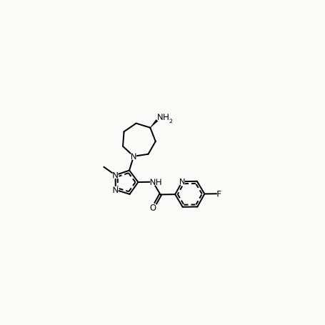 Cn1ncc(NC(=O)c2ccc(F)cn2)c1N1CCC[C@@H](N)CC1